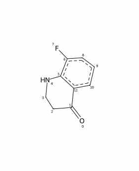 O=C1CCNc2c(F)cccc21